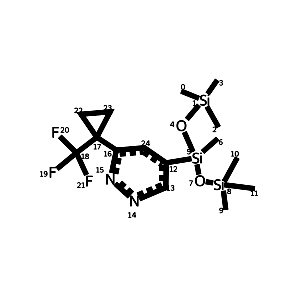 C[Si](C)(C)O[Si](C)(O[Si](C)(C)C)c1cnnc(C2(C(F)(F)F)CC2)c1